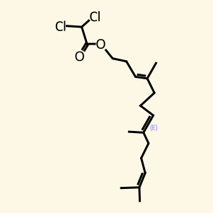 CC(C)=CCC/C(C)=C/CCC(C)=CCCOC(=O)C(Cl)Cl